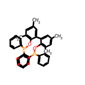 Cc1cc(C)c(OP(c2ccccc2)c2ccccc2)c(-c2cc(C)cc(C)c2OP(c2ccccc2)c2ccccc2)c1